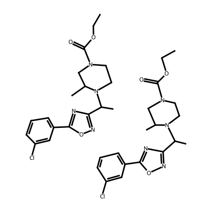 CCOC(=O)N1CCN(C(C)c2noc(-c3cccc(Cl)c3)n2)C(C)C1.CCOC(=O)N1CCN(C(C)c2noc(-c3cccc(Cl)c3)n2)C(C)C1